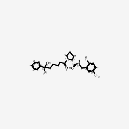 CC(C)[C@@](C#N)(CCCCC(=O)N1CCC[C@@H]1C(=O)NCc1cc(C(F)(F)F)ccc1F)c1ccccc1